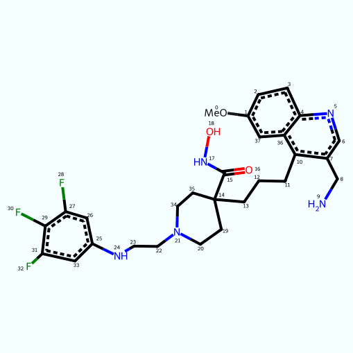 COc1ccc2ncc(CN)c(CCCC3(C(=O)NO)CCN(CCNc4cc(F)c(F)c(F)c4)CC3)c2c1